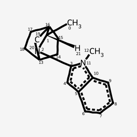 C[C@@H]1N(c2cc3ccccc3n2C)C23CCC1(CC2)CC3